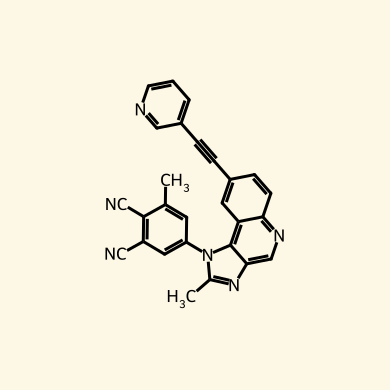 Cc1cc(-n2c(C)nc3cnc4ccc(C#Cc5cccnc5)cc4c32)cc(C#N)c1C#N